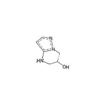 OC1CNc2ccnn2C1